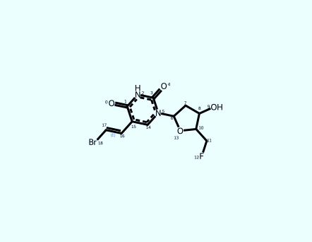 O=c1[nH]c(=O)n(C2CC(O)C(CF)O2)cc1/C=C/Br